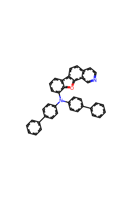 c1ccc(-c2ccc(N(c3ccc(-c4ccccc4)cc3)c3cccc4c3oc3c5cnccc5ccc43)cc2)cc1